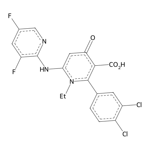 CCn1c(Nc2ncc(F)cc2F)cc(=O)c(C(=O)O)c1-c1ccc(Cl)c(Cl)c1